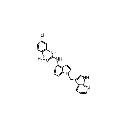 Cc1ccc(Cl)cc1NC(=O)Nc1cccc2c1ccn2Cc1c[nH]c2ncccc12